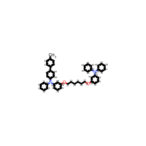 Cc1ccc(-c2ccc(N(c3ccccc3)c3cccc(OCCCCCCOc4cccc(N(c5ccccc5)c5ccccc5)c4)c3)cc2)cc1